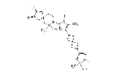 Cc1c(I)c(N2CCC3(CC(=O)N(C)C3)CC2(C)C)nn1C1CC2(C1)CN(C(=O)OC(C)(C)C)C2